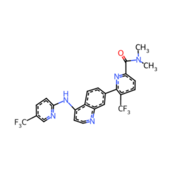 CN(C)C(=O)c1ccc(C(F)(F)F)c(-c2ccc3c(Nc4ccc(C(F)(F)F)cn4)ccnc3c2)n1